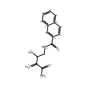 C=C(C(N)=O)C(O)CNC(=O)c1ccc2ccccc2c1